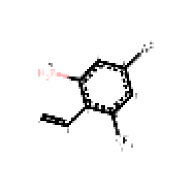 Bc1cc(C(C)=O)cc(C(F)(F)F)c1C=C